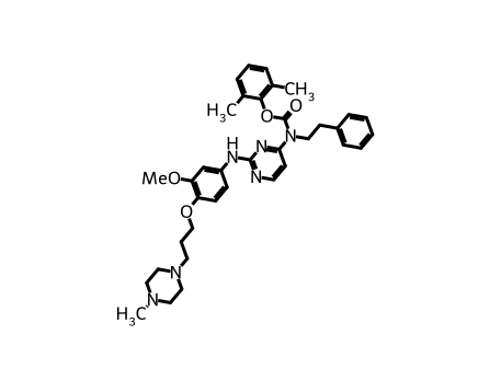 COc1cc(Nc2nccc(N(CCc3ccccc3)C(=O)Oc3c(C)cccc3C)n2)ccc1OCCCN1CCN(C)CC1